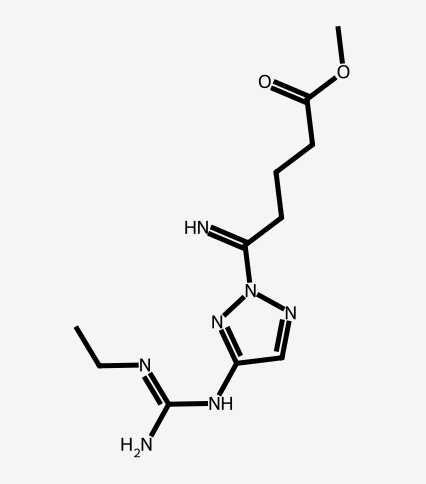 CCN=C(N)Nc1cnn(C(=N)CCCC(=O)OC)n1